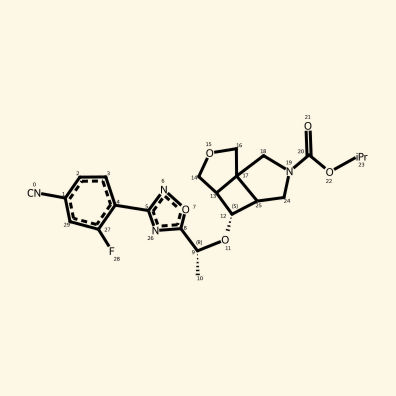 [C-]#[N+]c1ccc(-c2noc([C@@H](C)O[C@@H]3C4COCC45CN(C(=O)OC(C)C)CC35)n2)c(F)c1